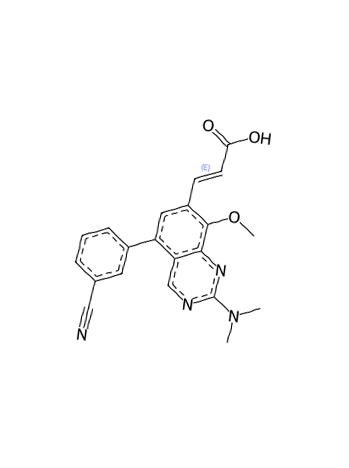 COc1c(/C=C/C(=O)O)cc(-c2cccc(C#N)c2)c2cnc(N(C)C)nc12